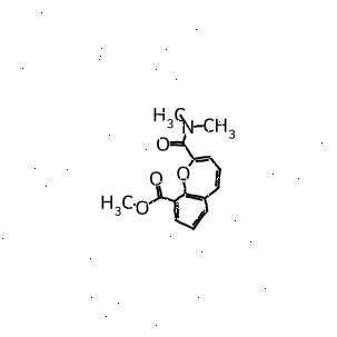 COC(=O)c1cccc2c1OC(C(=O)N(C)C)=CC=C2